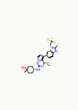 COc1nc(NC2CCC(C)(O)CC2)nn2ccc(-c3ccc4nc(C)n(CC(F)(F)F)c4c3)c12